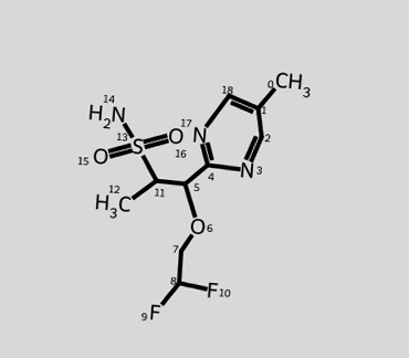 Cc1cnc(C(OCC(F)F)C(C)S(N)(=O)=O)nc1